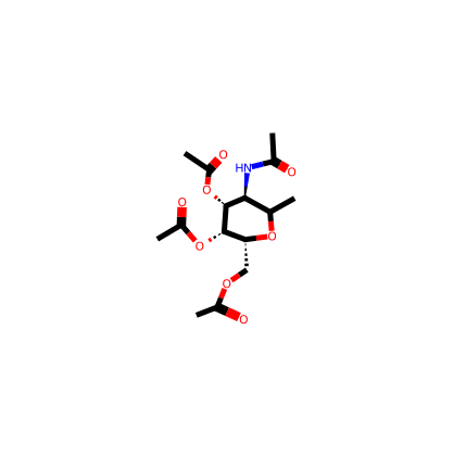 CC(=O)N[C@H]1C(C)O[C@H](COC(C)=O)[C@H](OC(C)=O)[C@@H]1OC(C)=O